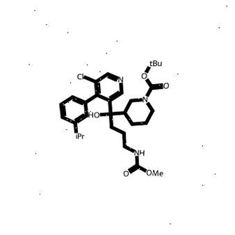 COC(=O)NCCCC(O)(c1cncc(Cl)c1-c1cccc(C(C)C)c1)C1CCCN(C(=O)OC(C)(C)C)C1